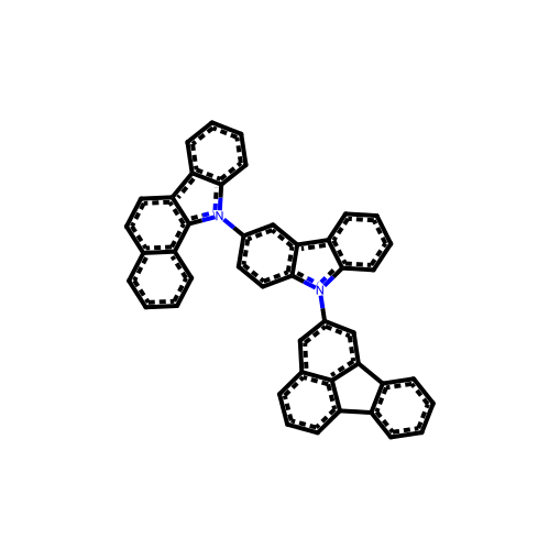 c1ccc2c(c1)-c1cccc3cc(-n4c5ccccc5c5cc(-n6c7ccccc7c7ccc8ccccc8c76)ccc54)cc-2c13